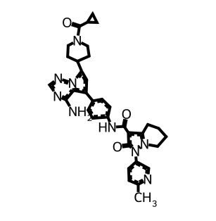 Cc1ccc(-n2c(=O)c(C(=O)Nc3ccc(-c4cc(C5CCN(C(=O)C6CC6)CC5)n5ncnc(N)c45)cc3)c3n2CCCC3)cn1